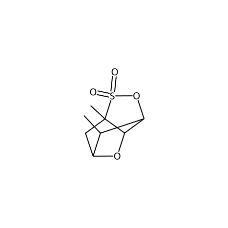 CC1C2CC3(C)C(O2)C1OS3(=O)=O